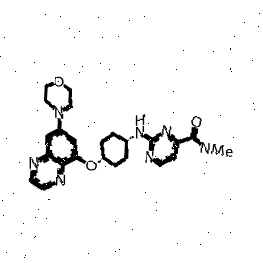 CNC(=O)c1ccnc(N[C@H]2CC[C@@H](Oc3cc(N4CCOCC4)cc4nccnc34)CC2)n1